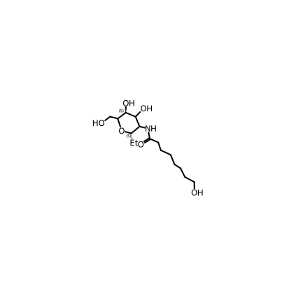 CC[C@@H]1OC(CO)[C@@H](O)C(O)C1NC(=O)CCCCCCCO